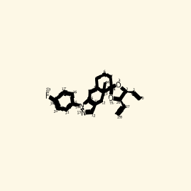 C=C[C@@H]1OC2(CCCC3=Cc4c(cnn4-c4ccc(F)cc4)CC32C)O[C@@H]1C=C